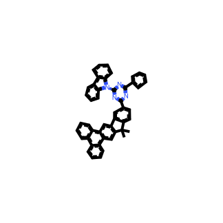 CC1(C)c2ccc(-c3nc(-c4ccccc4)nc(-n4c5ccccc5c5ccccc54)n3)cc2-c2cc3c4ccccc4c4ccccc4c3cc21